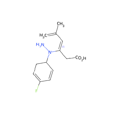 C=C(C)/C=C(/CC(=O)O)N(N)C1C=CC(F)=CC1